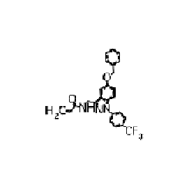 C=CC(=O)NCc1nn(-c2ccc(C(F)(F)F)cc2)c2ccc(OCc3ccccc3)cc12